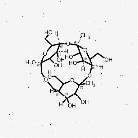 C[C@@]12OC(CO)[C@@H](COC[C@@]3(C)OC(CO)[C@@H](O[C@@]4(C)OC(CO)[C@@H](O1)[C@@H](O)C4O)[C@@H](O)C3O)[C@@H](O)C2O